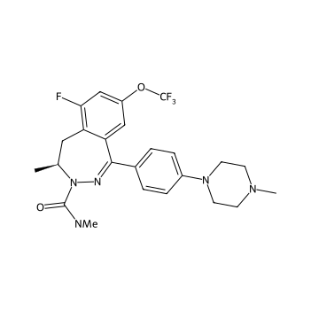 CNC(=O)N1N=C(c2ccc(N3CCN(C)CC3)cc2)c2cc(OC(F)(F)F)cc(F)c2C[C@@H]1C